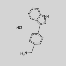 Cl.NCc1ccc(-c2c[nH]c3ccccc23)cc1